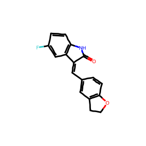 O=C1Nc2ccc(F)cc2/C1=C/c1ccc2c(c1)CCO2